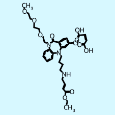 CCOC(=O)/C=C/CNCCCCN1c2cc(Cl)ccc2C(=O)N(CCOCCOCCOC)c2ccccc21.O=C(O)/C=C\C(=O)O